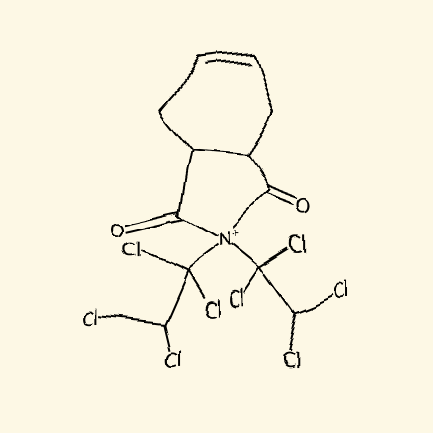 O=C1C2CC=CCC2C(=O)[N+]1(C(Cl)(Cl)C(Cl)Cl)C(Cl)(Cl)C(Cl)Cl